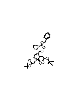 CC(C)(C)OC(=O)CC1C(=O)N(CC(=O)OC(C)(C)C)CCN1C(=O)[C@@H]1CCCN1C(=O)OCc1ccccc1